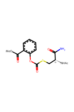 COC(=O)c1ccccc1OC(=O)SC[C@@H](NC(C)=O)C(N)=O